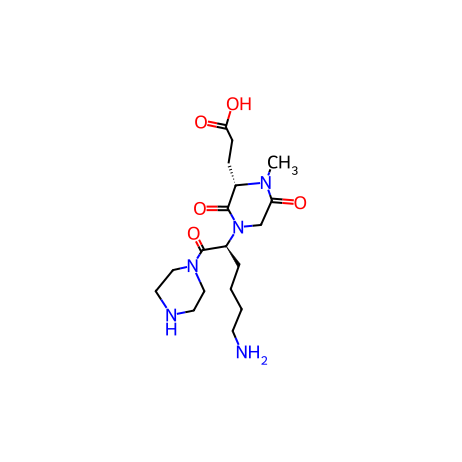 CN1C(=O)CN([C@@H](CCCCN)C(=O)N2CCNCC2)C(=O)[C@@H]1CCC(=O)O